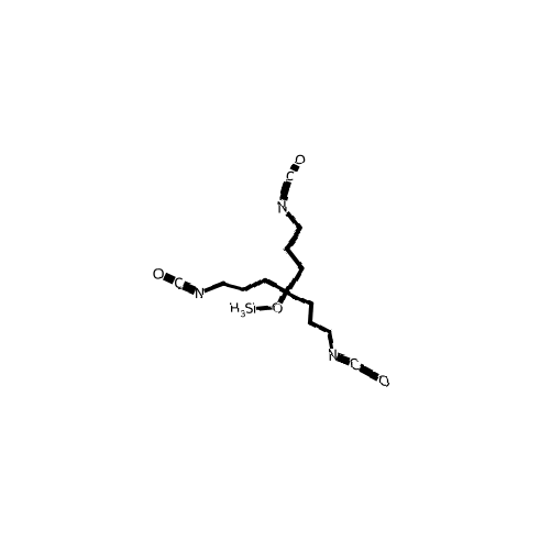 O=C=NCCCC(CCCN=C=O)(CCCN=C=O)O[SiH3]